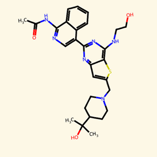 CC(=O)Nc1ncc(-c2nc(NCCO)c3sc(CN4CCC(C(C)(C)O)CC4)cc3n2)c2ccccc12